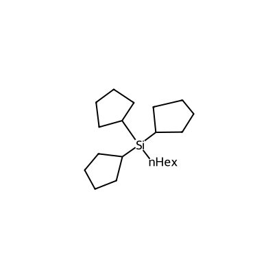 CCCCCC[Si](C1CCCC1)(C1CCCC1)C1CCCC1